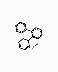 C1=CCC(c2ccccc2-c2ccccc2)C=C1.CC(=O)O